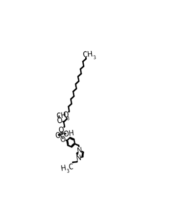 CCCCCCCCCCCCCCCCOCC(COP(=O)(O)Oc1ccc(Cn2cc[n+](CCC)c2)cc1)OC